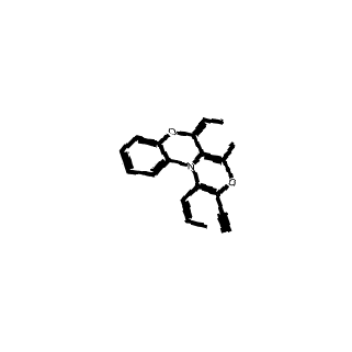 C#CC1=C(/C=C\C)N2C(=C(C)O1)/C(=C\C)Oc1ccccc12